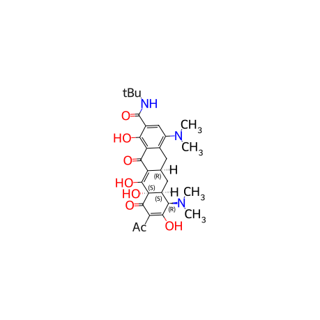 CC(=O)C1=C(O)[C@H](N(C)C)[C@@H]2C[C@@H]3Cc4c(N(C)C)cc(C(=O)NC(C)(C)C)c(O)c4C(=O)C3=C(O)[C@]2(O)C1=O